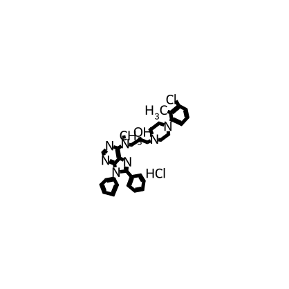 Cc1c(Cl)cccc1N1CCN(CC(O)CN(C)c2ncnc3c2nc(-c2ccccc2)n3-c2ccccc2)CC1.Cl